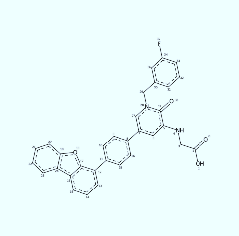 O=C(O)CNc1cc(-c2ccc(-c3cccc4c3oc3ccccc34)cc2)cn(Cc2cccc(F)c2)c1=O